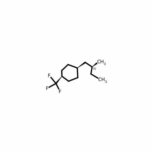 CC[C@H](C)C[C@H]1CC[C@@H](C(F)(F)F)CC1